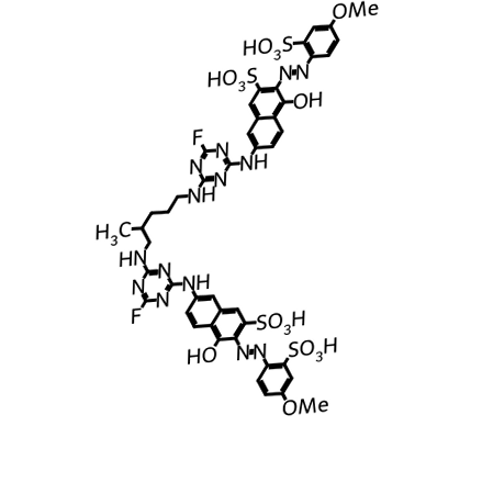 COc1ccc(/N=N/c2c(S(=O)(=O)O)cc3cc(Nc4nc(F)nc(NCCCC(C)CNc5nc(F)nc(Nc6ccc7c(O)c(/N=N/c8ccc(OC)cc8S(=O)(=O)O)c(S(=O)(=O)O)cc7c6)n5)n4)ccc3c2O)c(S(=O)(=O)O)c1